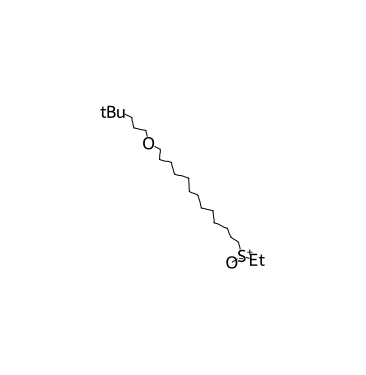 CC[S+]([O-])CCCCCCCCCCCCCOCCCC(C)(C)C